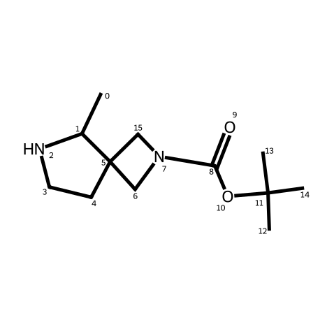 CC1NCCC12CN(C(=O)OC(C)(C)C)C2